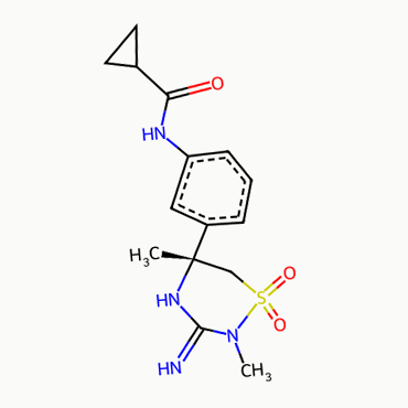 CN1C(=N)N[C@](C)(c2cccc(NC(=O)C3CC3)c2)CS1(=O)=O